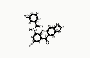 O=C(Nc1cc(F)cc(C(=O)c2ccc3ncsc3c2)c1F)c1cccc(F)c1